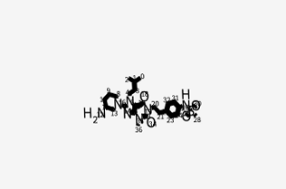 CC(C)=CCn1c(N2CCCC(N)C2)nc2c1c(=O)n(CCc1ccc(NS(C)(=O)=O)cc1)c(=O)n2C